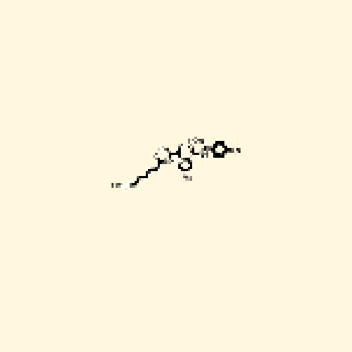 CCOC(=O)CCCCCC(=O)N[C@H](C(=O)N1C[C@H](O)C[C@H]1C(=O)N[C@@H](CO)c1ccc(C#N)cc1)C(C)(C)C